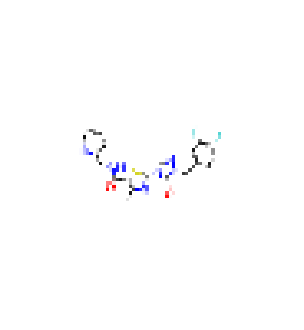 Cc1nc(-n2cnn(Cc3ccc(F)c(F)c3)c2=O)sc1C(=O)NCc1ccccn1